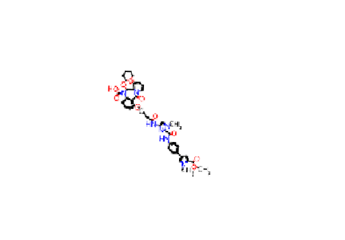 COC(=O)c1cc(-c2ccc(NC(=O)c3nc(NC(=O)CCCOc4cccc5c4C(=O)N4CCCCC4C(OC4CCCCO4)N5C(=O)O)cn3C)cc2)cn1C